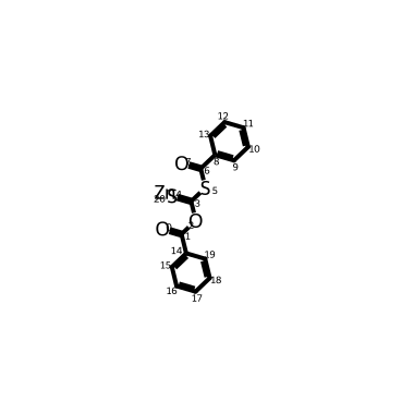 O=C(OC(=S)SC(=O)c1ccccc1)c1ccccc1.[Zn]